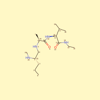 CCC[C@@H](CN[C@@H](C)C(=O)N[C@H](C(=O)NCC)C(C)C)NC